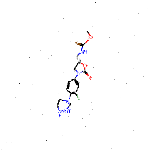 COC(=S)NC[C@H]1CN(c2ccc(N3CCNNC3)c(F)c2)C(=O)O1